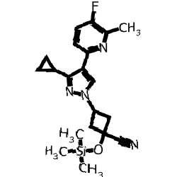 Cc1nc(-c2cn(C3CC(C#N)(O[Si](C)(C)C)C3)nc2C2CC2)ccc1F